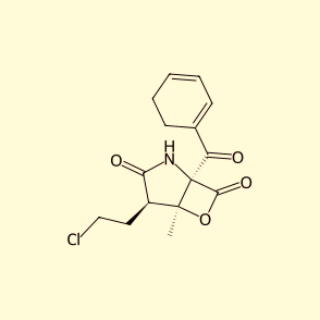 C[C@@]12OC(=O)[C@]1(C(=O)C1=CC=CCC1)NC(=O)[C@@H]2CCCl